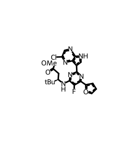 COC(=O)C[C@@H](Nc1nc(-c2c[nH]c3ncc(Cl)nc23)nc(-c2ccco2)c1F)C(C)(C)C